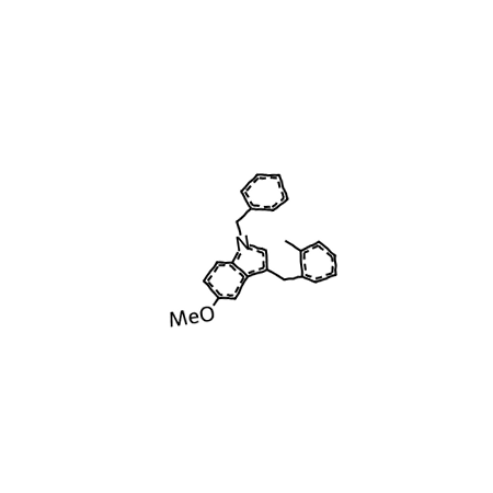 COc1ccc2c(c1)c(Cc1ccccc1C)cn2Cc1ccccc1